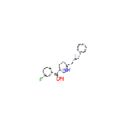 O[C@@H](c1cccc(F)c1)C12CCC(C/C=C/c3ccccc3)(CC1)N2